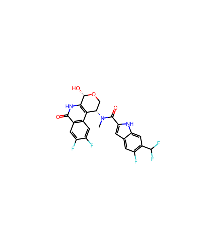 CN(C(=O)c1cc2cc(F)c(C(F)F)cc2[nH]1)[C@H]1CO[C@@H](O)c2[nH]c(=O)c3cc(F)c(F)cc3c21